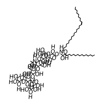 CCCCCCCC/C=C\CCCCCCCCCCCCCC(=O)N[C@@H](CO[C@@H]1OC(CO)[C@@H](O[C@@H]2OC(CO)[C@H](O)[C@H](O[C@@H]3OC(CO)[C@@H](O[C@@H]4OC(CO)[C@H](O)[C@H](O[C@@H]5OC(CO)[C@@H](O[C@H]6OC(C)[C@@H](O)C(O)[C@@H]6O)[C@H](O[C@@H]6OC(CO)[C@H](O)[C@H](O)C6O)C5NC(C)=O)C4O)[C@H](O)C3NC(C)=O)C2O)[C@H](O)C1O)[C@H](O)/C=C/CCCCCCCCCCCCC